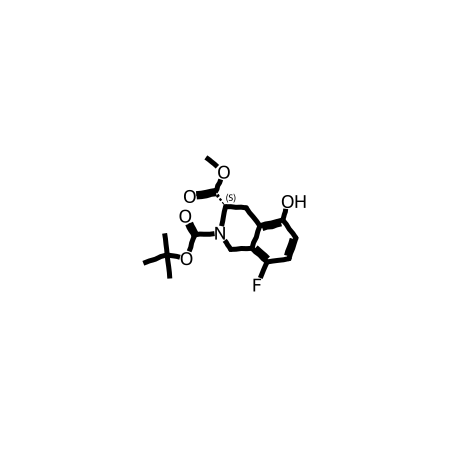 COC(=O)[C@@H]1Cc2c(O)ccc(F)c2CN1C(=O)OC(C)(C)C